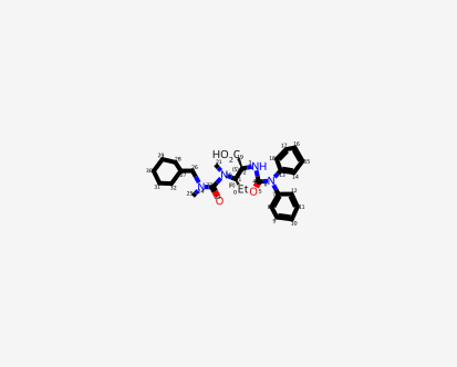 CC[C@H]([C@H](NC(=O)N(c1ccccc1)c1ccccc1)C(=O)O)N(C)C(=O)N(C)CC1CCCCC1